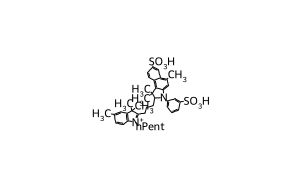 CCCCC[N+]1=C(CCCC2N(c3cccc(S(=O)(=O)O)c3)c3cc(C)c4cc(S(=O)(=O)O)ccc4c3C2(C)C)C(C)(C)c2cc(C)ccc21